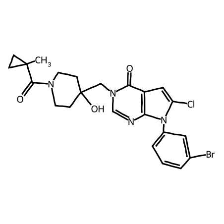 CC1(C(=O)N2CCC(O)(Cn3cnc4c(cc(Cl)n4-c4cccc(Br)c4)c3=O)CC2)CC1